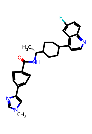 C[C@@H](NC(=O)c1ccc(-c2cn(C)cn2)cc1)C1CCC(c2ccnc3ccc(F)cc23)CC1